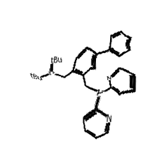 CC(C)(C)P(Cc1ccc(-c2ccccc2)cc1CP(c1ccccn1)c1ccccn1)C(C)(C)C